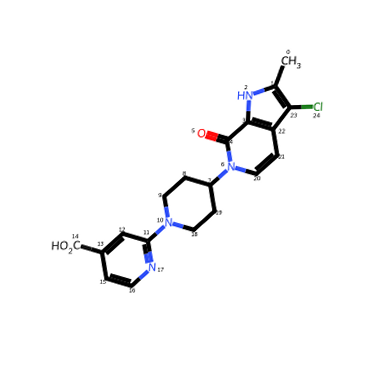 Cc1[nH]c2c(=O)n(C3CCN(c4cc(C(=O)O)ccn4)CC3)ccc2c1Cl